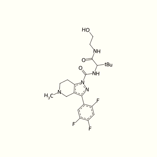 CN1CCc2c(c(-c3cc(F)c(F)cc3F)nn2C(=O)NC(C(=O)NCCO)C(C)(C)C)C1